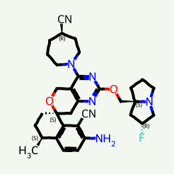 C[C@H]1CC[C@]2(Cc3nc(OC[C@@]45CCCN4C[C@H](F)C5)nc(N4CCC[C@@H](C#N)CC4)c3CO2)c2c1ccc(N)c2C#N